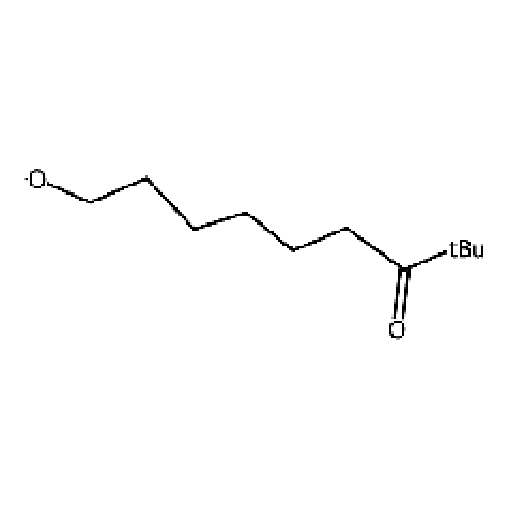 CC(C)(C)C(=O)CCCCCC[O]